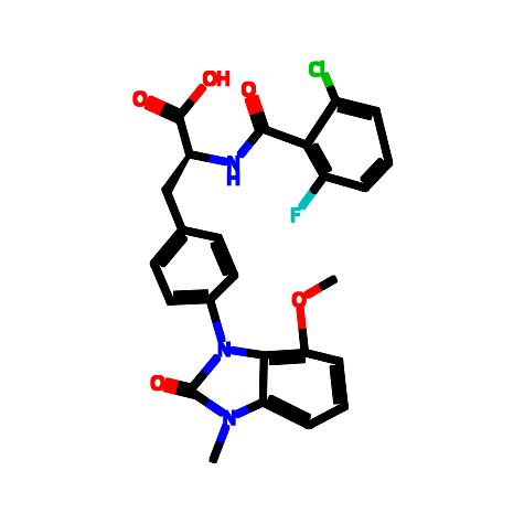 COc1cccc2c1n(-c1ccc(C[C@H](NC(=O)c3c(F)cccc3Cl)C(=O)O)cc1)c(=O)n2C